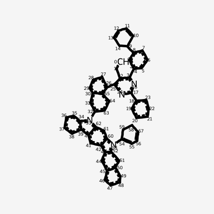 CCc1c(-c2cccc(C3C=CC=CC3)c2)nc(-c2ccccc2)nc1-c1cccc2cc(-n3c4ccccc4c4cc5c6cc7ccccc7cc6n(C6=CC=CCC6)c5cc43)ccc12